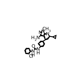 Cn1nc(N)c2c(-c3ccc(NC(=O)Nc4ccccc4Cl)cc3)cc(C3CC3)nc21